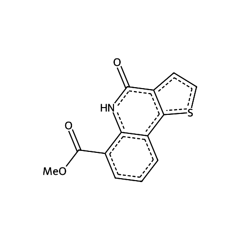 COC(=O)c1cccc2c1[nH]c(=O)c1ccsc12